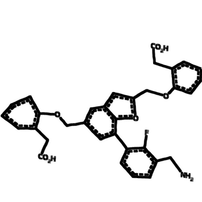 NCc1cccc(-c2cc(COc3ccccc3CC(=O)O)cc3cc(COc4ccccc4CC(=O)O)oc23)c1F